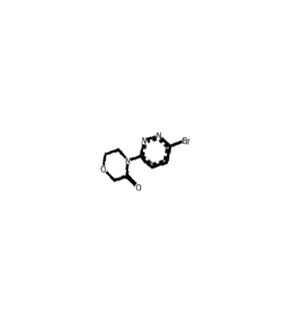 O=C1COCCN1c1ccc(Br)nn1